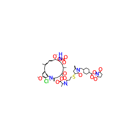 C=C1CC(SCCC(=O)N(C)C(C)C(=O)OC2CC(=C)N(C)c3cc(cc(OC)c3Cl)C/C(C)=C/C=C/C(OC)C3(O)CC(OC(=O)N3)C(C)C3OC23C)C(=O)N1CC1CCC(C(=O)ON2C(=O)CCC2=O)CC1